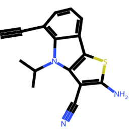 C#Cc1cccc2c3sc(N)c(C#N)c3n(C(C)C)c12